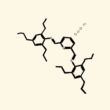 CCCc1cc(CCC)c(N=Cc2cccc(C=Nc3c(CCC)cc(CCC)cc3CCC)n2)c(CCC)c1.[Cl-].[Cl-].[Cl-].[V+3]